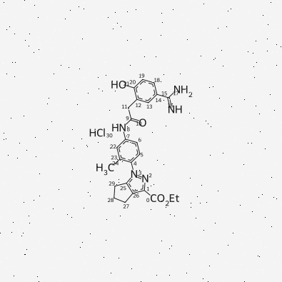 CCOC(=O)c1nn(-c2ccc(NC(=O)Cc3cc(C(=N)N)ccc3O)cc2C)c2c1CCC2.Cl